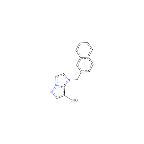 O=Cc1cnn2ccn(Cc3ccc4ccccc4c3)c12